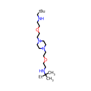 CCC(C)(C)NCCOCCN1CCN(CCOCCNCC(C)(C)C)CC1